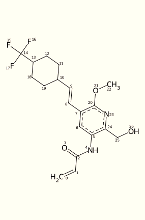 C=CC(=O)Nc1cc(/C=C/C2CCC(C(F)(F)F)CC2)c(OC)nc1CO